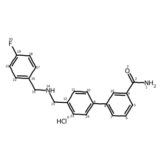 Cl.NC(=O)c1cccc(-c2ccc(CNCc3ccc(F)cc3)cc2)c1